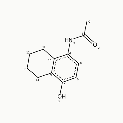 CC(=O)Nc1ccc(O)c2c1CCCC2